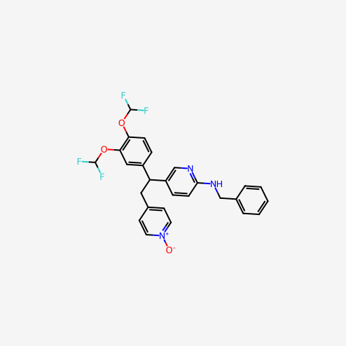 [O-][n+]1ccc(CC(c2ccc(NCc3ccccc3)nc2)c2ccc(OC(F)F)c(OC(F)F)c2)cc1